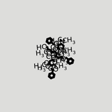 CO[C@](C)(C[C@@H](C)CO)[C@H](O[C@@H]1O[C@H](C)C[C@H](N(C)C)[C@H]1OC(=O)c1ccccc1)[C@@H](C)[C@H](O[C@H]1C[C@@](C)(OC)[C@@H](OC(=O)c2ccccc2)[C@H](C)O1)[C@@H](C)C(=O)OCc1ccccc1